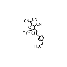 [C-]#[N+]/C(C#N)=C1\OC(C)(C)C(/C=C/c2ccc(C=C)s2)=C1C#N